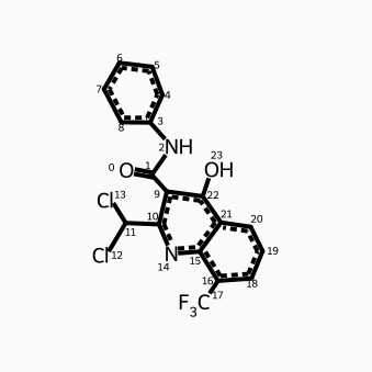 O=C(Nc1ccccc1)c1c(C(Cl)Cl)nc2c(C(F)(F)F)cccc2c1O